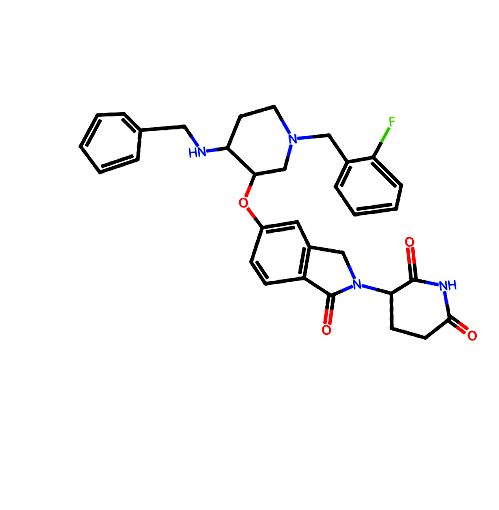 O=C1CCC(N2Cc3cc(OC4CN(Cc5ccccc5F)CCC4NCc4ccccc4)ccc3C2=O)C(=O)N1